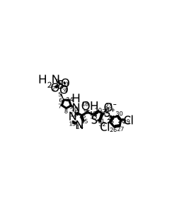 NS(=O)(=O)OC[C@@H]1CC[C@H](Nc2ncncc2C(O)c2cc([S+]([O-])c3cccc(Cl)c3)c(Cl)s2)C1